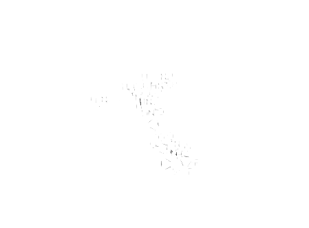 CC(C)C(NC(=O)CCCCCN)C(=O)N[C@@H](CCCNC(N)=O)C(=O)Nc1ccc(COc2c3n(ccc2=O)N([C@@H]2c4ccccc4SCc4c2ccc(F)c4F)[C@@H]2COCCN2C3=O)cc1